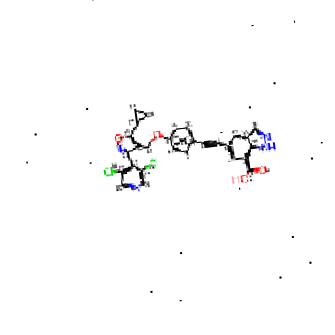 O=C(O)c1cc(C#CC23CCC(OCc4c(-c5c(Cl)cncc5Cl)noc4C4CC4)(CC2)CC3)cc2cn[nH]c12